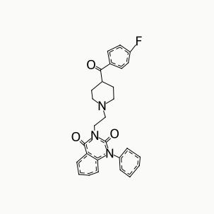 O=C(c1ccc(F)cc1)C1CCN(CCn2c(=O)c3ccccc3n(-c3ccccc3)c2=O)CC1